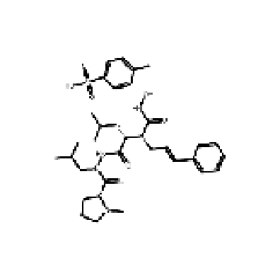 CC(C)C[C@@H](C(=O)NN(CC(C)C)C(=O)[C@@H]1CCCN1C)[C@H](CC=Cc1ccccc1)C(=O)NO.Cc1ccc(S(=O)(=O)O)cc1